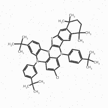 CC(C)(C)c1ccc(N2c3cc(Cl)cc4c3B(c3ccc(C(C)(C)C)cc3N4c3cccc(C(C)(C)C)c3)c3sc4cc5c(cc4c32)C(C)(C)CCC5(C)C)cc1